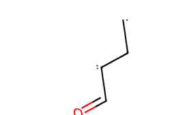 [CH2]C[C]C=O